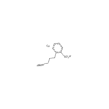 CCCCCCCCCCCCc1ccccc1S(=O)(=O)O.[Co]